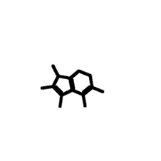 CC1=C(C)C2=C(CC1)C(C)C(C)=C2C